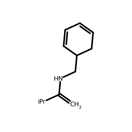 C=C(NCC1C=CC=CC1)C(C)C